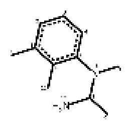 Cc1cccc(N(C)C(C)N)c1C